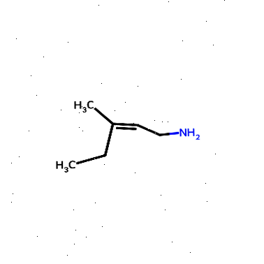 CC/C(C)=C\CN